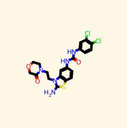 NC1Sc2ccc(NC(=O)Nc3ccc(Cl)c(Cl)c3)cc2N1CCN1CCOCC1=O